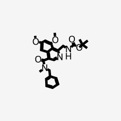 COc1cc(OC)c2c(CNC(=O)OC(C)(C)C)ncc(C(=O)N(C)Cc3ccccc3)c2c1